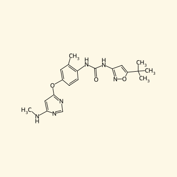 CNc1cc(Oc2ccc(NC(=O)Nc3cc(C(C)(C)C)on3)c(C)c2)ncn1